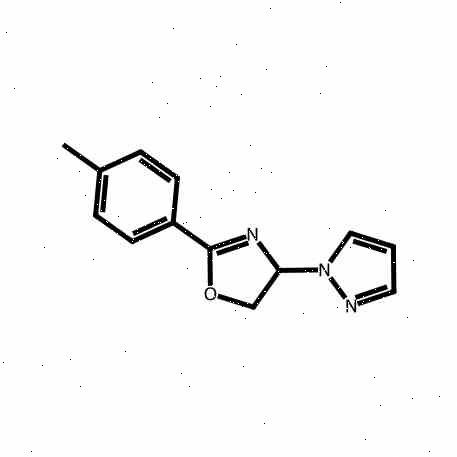 Cc1ccc(C2=NC(n3cccn3)CO2)cc1